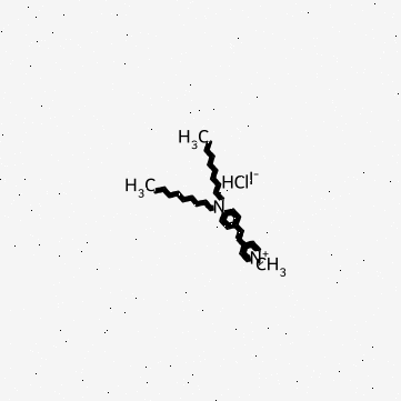 CCCCCCCCCCN(CCCCCCCCCC)c1ccc(C=Cc2cc[n+](C)cc2)cc1.Cl.[I-]